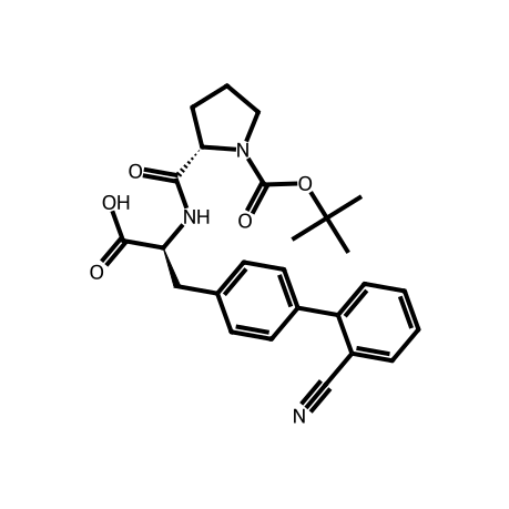 CC(C)(C)OC(=O)N1CCC[C@H]1C(=O)N[C@@H](Cc1ccc(-c2ccccc2C#N)cc1)C(=O)O